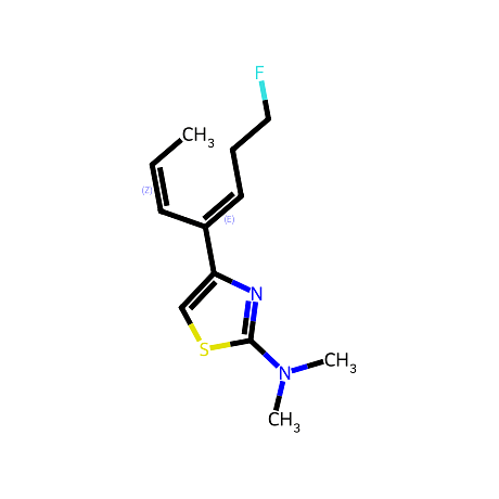 C/C=C\C(=C/CCF)c1csc(N(C)C)n1